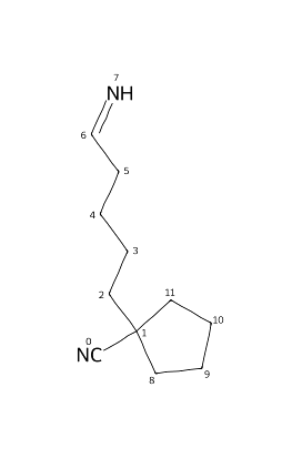 N#CC1(CCCCC=N)CCCC1